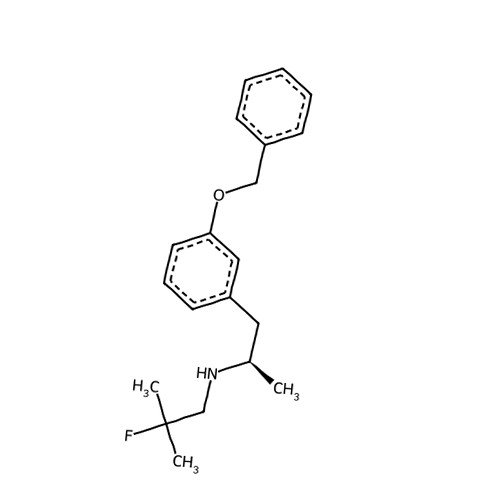 C[C@H](Cc1cccc(OCc2ccccc2)c1)NCC(C)(C)F